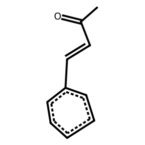 CC(=O)/C=C/c1ccccc1